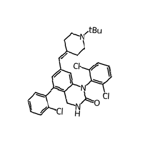 CC(C)(C)N1CCC(=Cc2cc(-c3ccccc3Cl)c3c(c2)N(c2c(Cl)cccc2Cl)C(=O)NC3)CC1